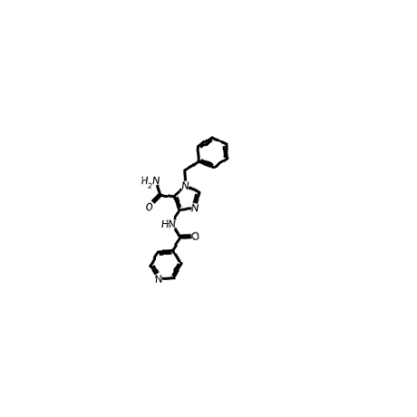 NC(=O)c1c(NC(=O)c2ccncc2)ncn1Cc1ccccc1